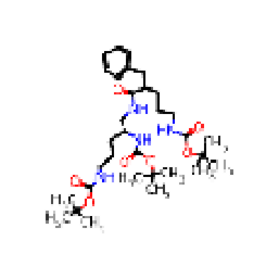 CC(C)(C)OC(=O)NCCC[C](Cc1ccccc1)C(=O)NC[C@H](CCCNC(=O)OC(C)(C)C)NC(=O)OC(C)(C)C